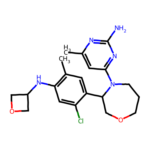 Cc1cc(N2CCCOCC2c2cc(C)c(NC3COC3)cc2Cl)nc(N)n1